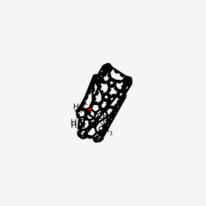 CC=CC12C3=C4C5=C1C1(C)c6c7c8c9c(c%10c%11c%12c(c%13c%14c%15c(c%16c%17c%18c(c1c1c6c6c8c8c%19c9c%11c9c%11c%12c%14c%12c%14c%15c%17c%15c%17c%18c1c1c6c8c6c(c9%19)c(c%11%12)c(c%14%15)c6c1%17)C%162C)C3%13C)C4%10C)C57C